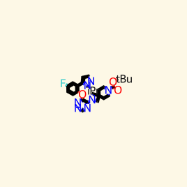 CC(C)n1nccc1-c1cc(F)ccc1Oc1nncnc1N1CC2(CCN(C(=O)OC(C)(C)C)CC2)C1